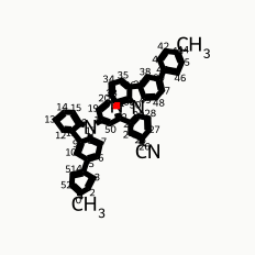 Cc1ccc(-c2ccc3c(c2)c2ccccc2n3-c2ccnc(-c3cc(C#N)ccc3-n3c4ccccc4c4cc(-c5ccc(C)cc5)ccc43)c2)cc1